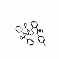 Cc1ccc(C2Nc3ccccc3C3C2CCN3C(=O)[C@H]2CCCC[C@H]2NC(=O)c2ccccc2)cc1